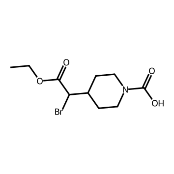 CCOC(=O)C(Br)C1CCN(C(=O)O)CC1